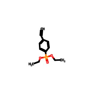 C#Cc1ccc(P(=O)(OCC)OCC)cc1